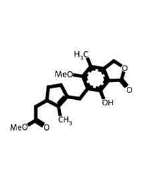 COC(=O)CC1CCC(Cc2c(O)c3c(c(C)c2OC)COC3=O)=C1C